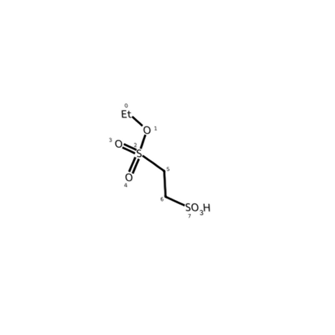 CCOS(=O)(=O)CCS(=O)(=O)O